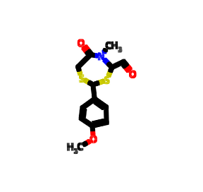 COc1ccc(C2SCC(=O)N(C)C(C=O)S2)cc1